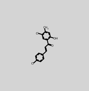 Cc1cc(O)c(C(=O)/C=C/c2ccc(Cl)cc2)cc1Cl